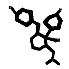 CN(C)CC1CCCC(=Cc2ccc(Cl)cc2)C1(O)c1ccc(F)cc1